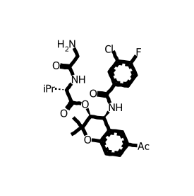 CC(=O)c1ccc2c(c1)[C@H](NC(=O)c1ccc(F)c(Cl)c1)[C@H](OC(=O)[C@@H](NC(=O)CN)C(C)C)C(C)(C)O2